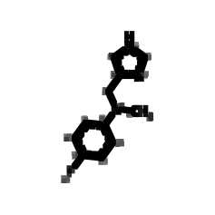 CN(Cc1c[nH]cn1)c1ccc(F)cc1